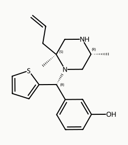 C=CC[C@@]1(C)CN[C@H](C)CN1[C@H](c1cccc(O)c1)c1cccs1